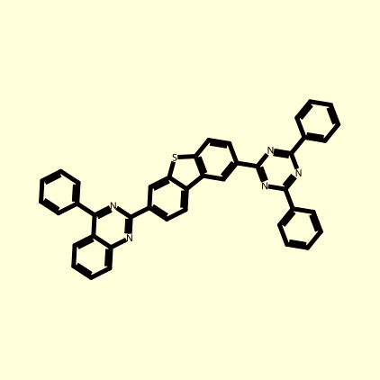 c1ccc(-c2nc(-c3ccccc3)nc(-c3ccc4sc5cc(-c6nc(-c7ccccc7)c7ccccc7n6)ccc5c4c3)n2)cc1